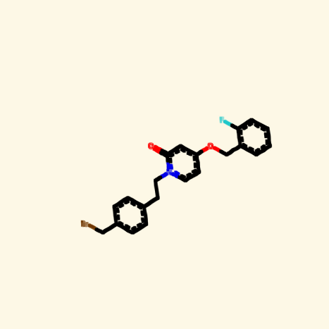 O=c1cc(OCc2ccccc2F)ccn1CCc1ccc(CBr)cc1